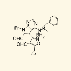 BN(B(C)Cc1ccccc1)c1ncnc2c1c(-c1noc(C3CC3)c1C=O)c(C=O)n2C(C)C